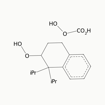 CC(C)C1(C(C)C)c2ccccc2CCC1OO.O=C(O)OO